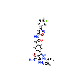 CC(C)n1nc(-c2ccc(CC(=O)Nc3cc(C4CCC(F)(F)C4)no3)cc2)c(C(N)=O)c1N